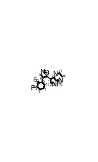 Fc1cccc(-c2cnoc2-c2c[nH]c3nccnc23)c1F